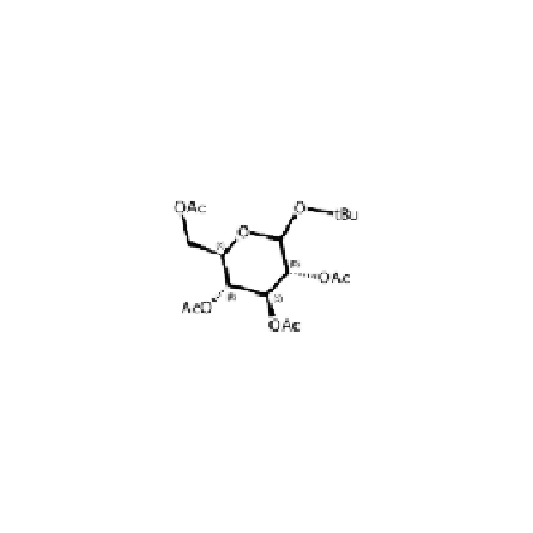 CC(=O)OC[C@H]1OC(OC(C)(C)C)[C@H](OC(C)=O)[C@@H](OC(C)=O)[C@@H]1OC(C)=O